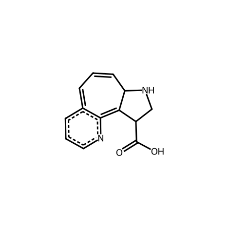 O=C(O)C1CNC2C=CC=c3cccnc3=C21